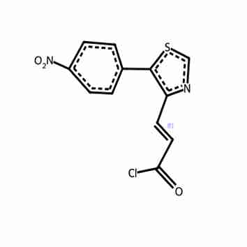 O=C(Cl)/C=C/c1ncsc1-c1ccc([N+](=O)[O-])cc1